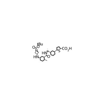 Cc1ccc(NC2CN(C(=O)OC(C)(C)C)C2)cc1C(=O)N[C@H](C)c1cccc(-c2ccc(C(=O)O)s2)c1